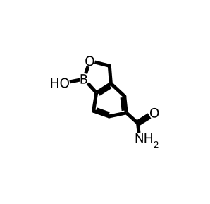 NC(=O)c1ccc2c(c1)COB2O